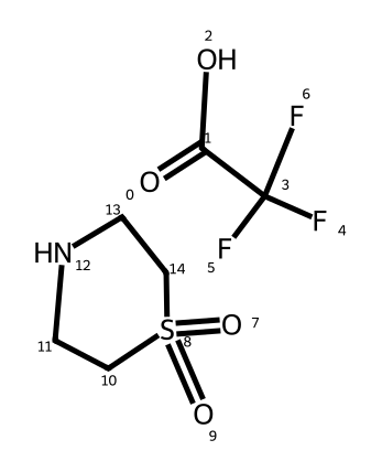 O=C(O)C(F)(F)F.O=S1(=O)CCNCC1